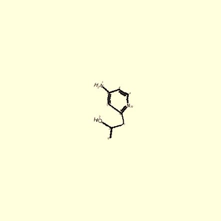 CC(O)Cc1cc(N)ccn1